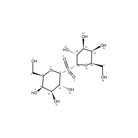 O=S(=O)([C@H]1O[C@H](CO)[C@H](O)[C@H](O)[C@H]1O)[C@H]1O[C@H](CO)[C@H](O)[C@H](O)[C@H]1O